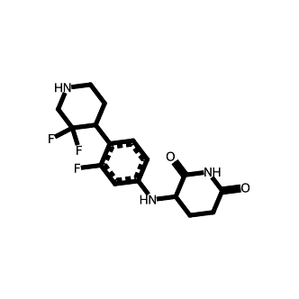 O=C1CCC(Nc2ccc(C3CCNCC3(F)F)c(F)c2)C(=O)N1